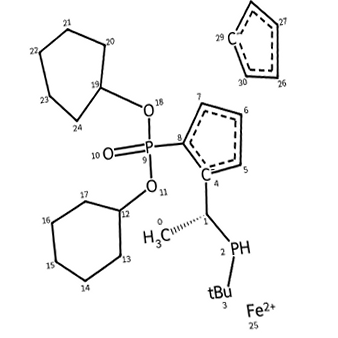 C[C@@H](PC(C)(C)C)[c-]1cccc1P(=O)(OC1CCCCC1)OC1CCCCC1.[Fe+2].c1cc[cH-]c1